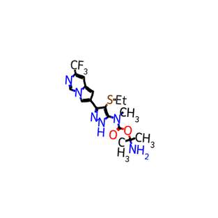 CCSc1c(-c2cc3cc(C(F)(F)F)ncn3c2)n[nH]c1N(C)C(=O)OC(C)(C)N